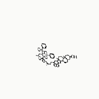 CC1CC(OC(=O)c2ccccc2)C(OC(=O)c2ccccc2)[C@H](OC[C@@H](C)CCC(=O)CC(C=O)C2(C)CCC3C(CCC4CC(O)CCC43C)C2C)O1